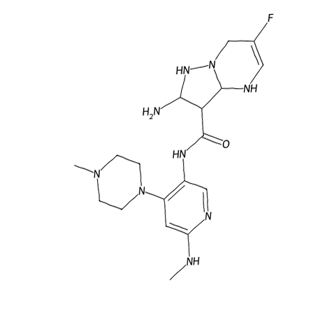 CNc1cc(N2CCN(C)CC2)c(NC(=O)C2C(N)NN3CC(F)=CNC23)cn1